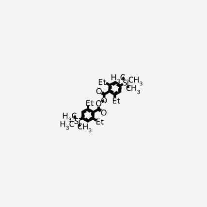 CCc1cc([Si](C)(C)C)cc(CC)c1C(=O)OOC(=O)c1c(CC)cc([Si](C)(C)C)cc1CC